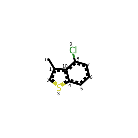 [CH2]c1csc2cccc(Cl)c12